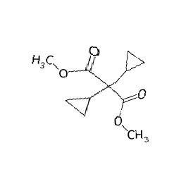 COC(=O)C(C(=O)OC)(C1CC1)C1CC1